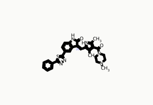 Cc1[nH]c(/C=C2\C(=O)Nc3ccc(-c4nnc(-c5ccccc5)s4)cc32)c(C)c1C(=O)N1CCN(C)CC1